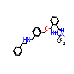 FC(F)(F)c1nnc2c3ccccc3c(OCc3cccc(CNCCc4ccccc4)c3)nn12